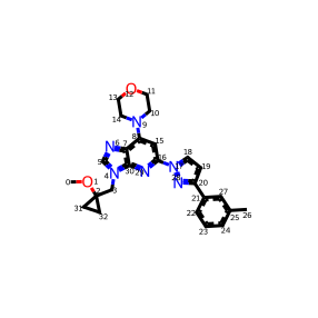 COC1(Cn2cnc3c(N4CCOCC4)cc(-n4ccc(-c5cccc(C)c5)n4)nc32)CC1